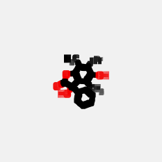 CCCc1c(C)c2c(c(C)c1O)C(O)(c1ccccc1)C(=O)O2